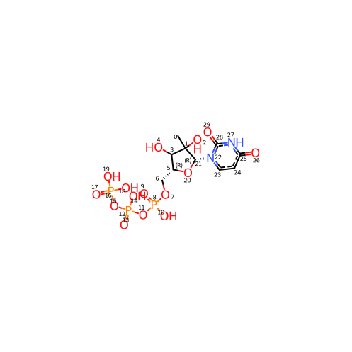 CC1(O)C(O)[C@@H](COP(=O)(O)OP(=O)(O)OP(=O)(O)O)O[C@H]1n1ccc(=O)[nH]c1=O